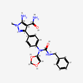 Cn1nc(-c2ccc(N(C(=O)NCc3ccccc3)C3=COCO3)cc2)c(C(N)=O)c1N